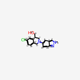 Cn1cc2cc(N(CCCO)Cc3ccc(Cl)cc3)ccc2n1